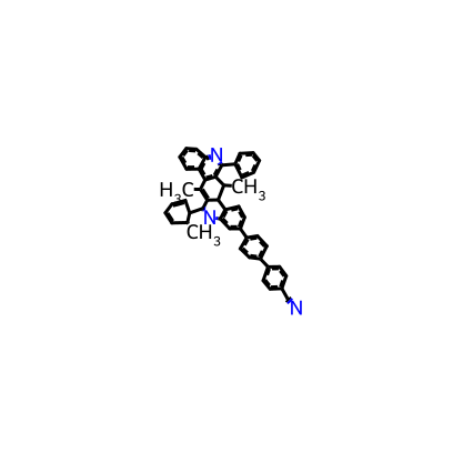 CC1=C2C(C3C=CC=CC3C)=Nc3cc(-c4ccc(-c5ccc(C#N)cc5)cc4)ccc3C2C(C)c2c(-c3ccccc3)nc3ccccc3c21